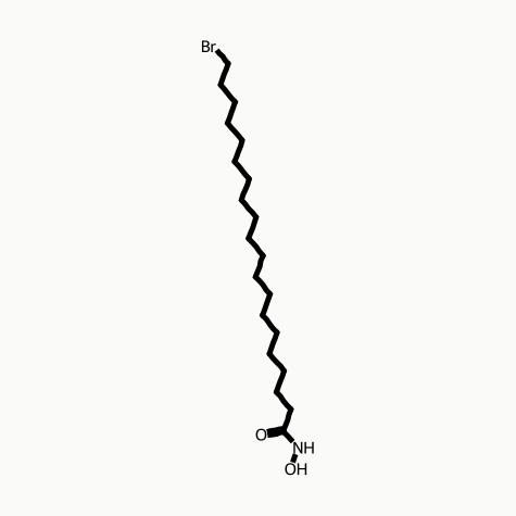 O=C(CCCCCCCCCCCCCCCCCCCBr)NO